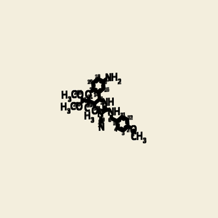 COc1ccc(CNC(=NC#N)NC2c3cc(N)ccc3OC(C)(C(OC)OC)C2O)cc1